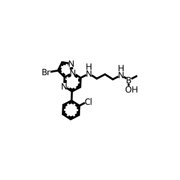 CB(O)NCCCNc1cc(-c2ccccc2Cl)nc2c(Br)cnn12